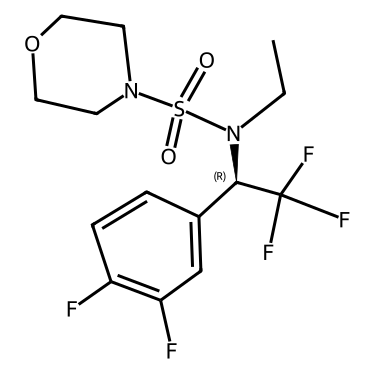 CCN([C@H](c1ccc(F)c(F)c1)C(F)(F)F)S(=O)(=O)N1CCOCC1